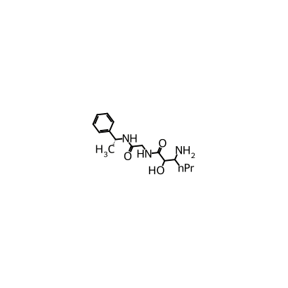 CCCC(N)C(O)C(=O)NCC(=O)N[C@H](C)c1ccccc1